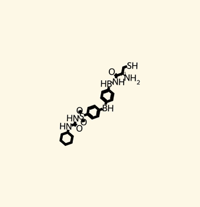 N[C@@H](CS)C(=O)NBc1ccc(Bc2ccc(S(=O)(=O)NC(=O)NC3CCCCC3)cc2)cc1